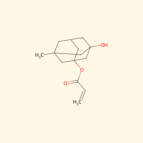 C=CC(=O)OC12CC3CC(C)(CC(O)(C3)C1)C2